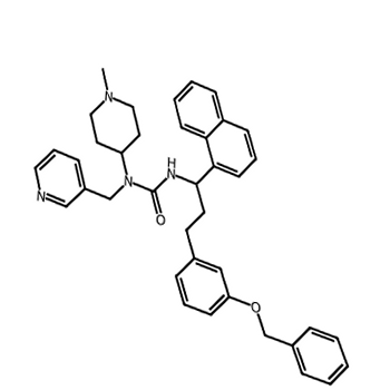 CN1CCC(N(Cc2cccnc2)C(=O)NC(CCc2cccc(OCc3ccccc3)c2)c2cccc3ccccc23)CC1